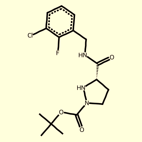 CC(C)(C)OC(=O)N1CC[C@@H](C(=O)NCc2cccc(Cl)c2F)N1